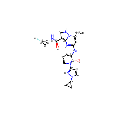 CNc1cc(NC2=CC=CN(c3ccn(C4CC4)n3)C2O)nc2c(C(=O)N[C@@H]3C[C@@H]3F)cnn12